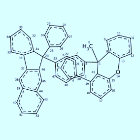 CC1(c2ccccc2)c2ccccc2Oc2cccc(-c3ccc(C4(c5ccccc5)c5ccccc5-c5cc6ccccc6cc54)cc3)c21